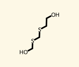 OCCSCSCO